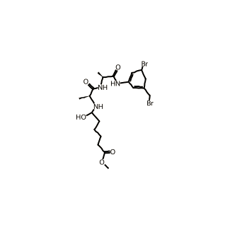 COC(=O)CCCCC(O)N[C@@H](C)C(=O)N[C@@H](C)C(=O)NC1=CC(Br)CC(CBr)=C1